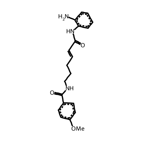 COc1ccc(C(=O)NCCCC=CC(=O)Nc2ccccc2N)cc1